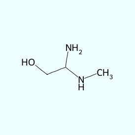 CNC(N)CO